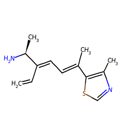 C=C/C(=C\C=C(/C)c1scnc1C)[C@H](C)N